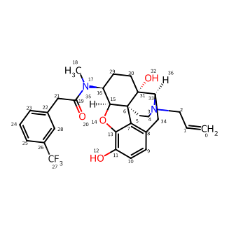 C=CCN1CC[C@]23c4c5ccc(O)c4O[C@H]2[C@@H](N(C)C(=O)Cc2cccc(C(F)(F)F)c2)CC[C@@]3(O)[C@H]1C5